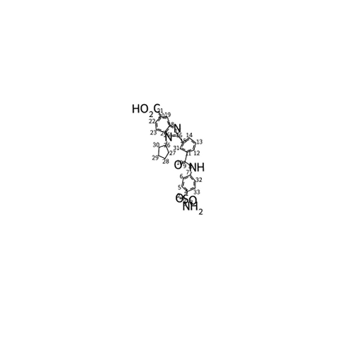 NS(=O)(=O)c1ccc(NC(=O)c2cccc(-c3nc4cc(C(=O)O)ccc4n3C3CCCC3)c2)cc1